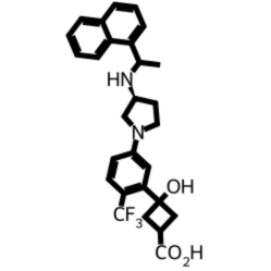 CC(N[C@H]1CCN(c2ccc(C(F)(F)F)c(C3(O)CC(C(=O)O)C3)c2)C1)c1cccc2ccccc12